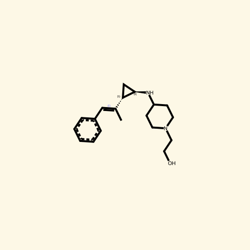 C/C(=C\c1ccccc1)[C@@H]1C[C@H]1NC1CCN(CCO)CC1